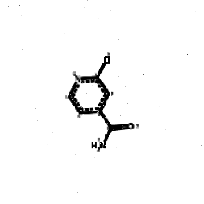 NC(=O)c1ccnc(Cl)c1